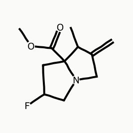 C=C1CN2CC(F)CC2(C(=O)OC)C1C